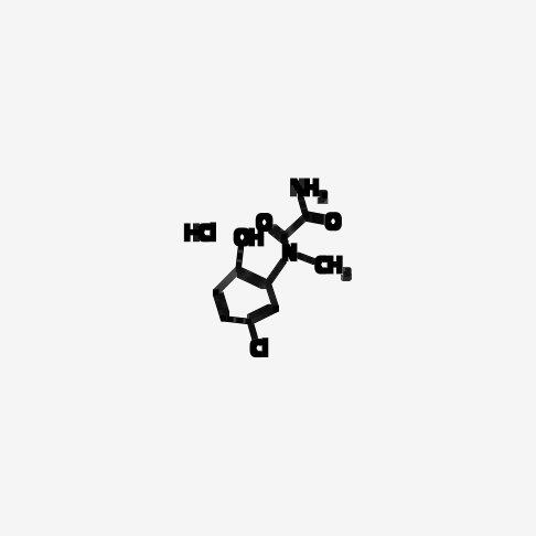 CN(C(=O)C(N)=O)c1cc(Cl)ccc1O.Cl